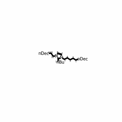 CCCCCCCCCCCCCCCN1C=CN(CCCCCCCCCCCC)C1CCCC